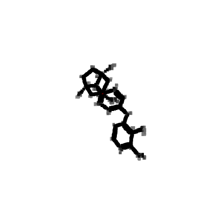 Nc1nccc(Sc2cnc(N3[C@@H]4CC[C@H]3C[C@H](N)C4)nn2)c1Cl